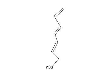 C=C/C=C/C=CCCCCC